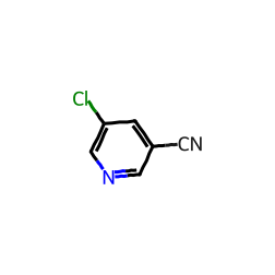 N#Cc1cncc(Cl)c1